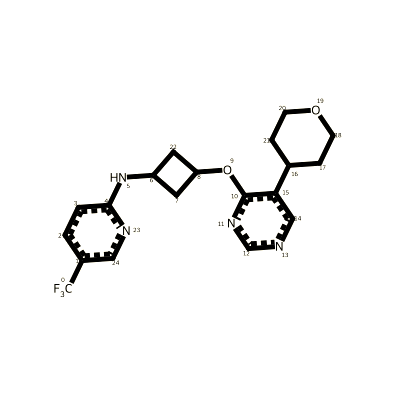 FC(F)(F)c1ccc(NC2CC(Oc3ncncc3C3CCOCC3)C2)nc1